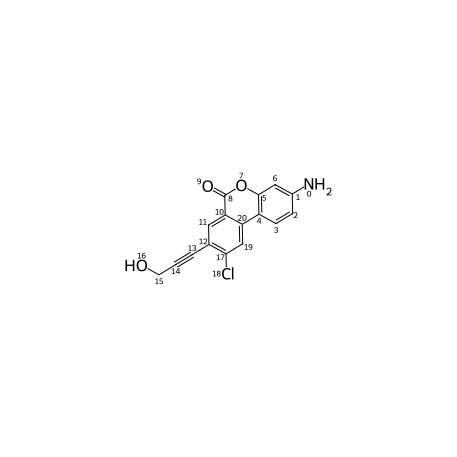 Nc1ccc2c(c1)oc(=O)c1cc(C#CCO)c(Cl)cc12